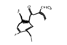 C=C(C=O)C(=O)c1cc(I)c(F)cc1F